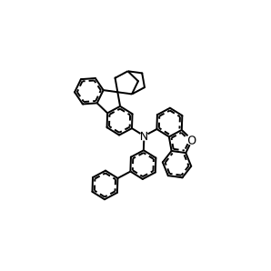 c1ccc(-c2cccc(N(c3ccc4c(c3)C3(CC5CCC3C5)c3ccccc3-4)c3cccc4oc5ccccc5c34)c2)cc1